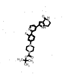 CC(C)(C)OC(=O)N1CCN(c2ccc(-c3cc(-c4cc5c([nH]4)CCNC5=O)ccn3)c(F)c2)CC1